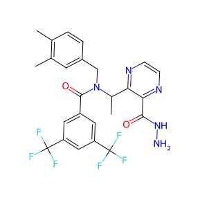 Cc1ccc(CN(C(=O)c2cc(C(F)(F)F)cc(C(F)(F)F)c2)C(C)c2nccnc2C(=O)NN)cc1C